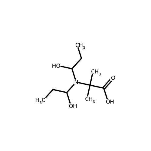 CCC(O)N(C(O)CC)C(C)(C)C(=O)O